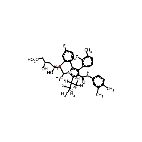 [2H]C([2H])([2H])C([2H])(c1c(C(=O)Nc2ccc(C)c(C)c2)c(-c2cccc(C)c2C)c(-c2ccc(F)cc2C)n1C(C)C[C@@H](O)C[C@@H](O)CC(=O)O)C([2H])(C)C